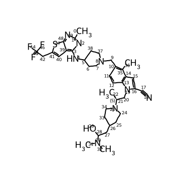 Cc1nc(NC2CCN(Cc3ccc4c(cc(C#N)n4C[C@H](C)N4CCC(CC(O)N(C)C)CC4)c3C)CC2)c2cc(CC(F)(F)F)sc2n1